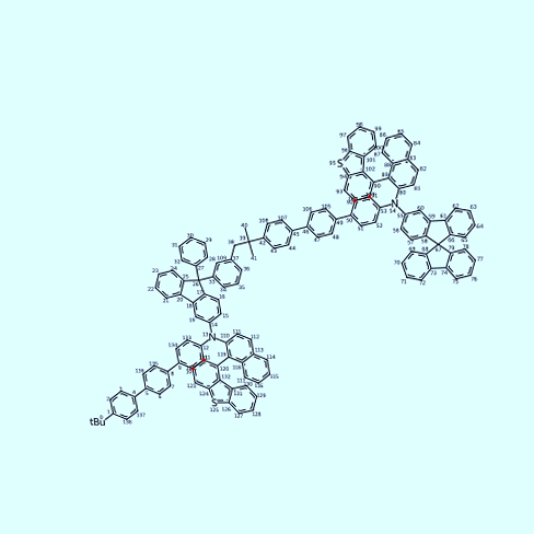 CC(C)(C)c1ccc(-c2ccc(-c3ccc(N(c4ccc5c(c4)-c4ccccc4C5(c4ccccc4)c4cccc(CC(C)(C)c5ccc(-c6ccc(-c7ccc(N(c8ccc9c(c8)-c8ccccc8C98c9ccccc9-c9ccccc98)c8ccc9ccccc9c8-c8cccc9sc%10ccccc%10c89)cc7)cc6)cc5)c4)c4ccc5ccccc5c4-c4cccc5sc6ccccc6c45)cc3)cc2)cc1